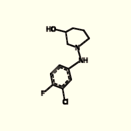 OC1CCCN(Nc2ccc(F)c(Cl)c2)C1